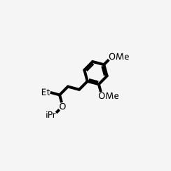 CCC(CCc1ccc(OC)cc1OC)OC(C)C